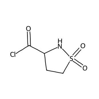 O=C(Cl)C1CCS(=O)(=O)N1